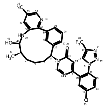 C[C@@H]1CCC[C@H](n2cnc(-c3cc(Cl)ccc3-n3cc(C(F)(F)F)nn3)cc2=O)c2cccc(c2)-c2ncc(C#N)cc2NC1O